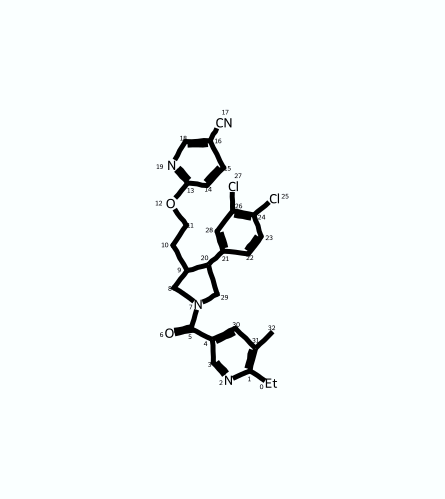 CCc1ncc(C(=O)N2CC(CCOc3ccc(C#N)cn3)C(c3ccc(Cl)c(Cl)c3)C2)cc1C